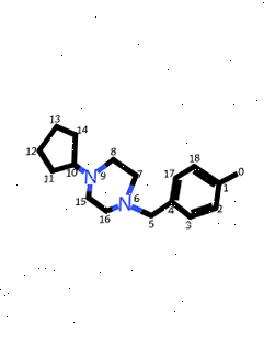 Cc1ccc(CN2CCN(C3CCCC3)CC2)cc1